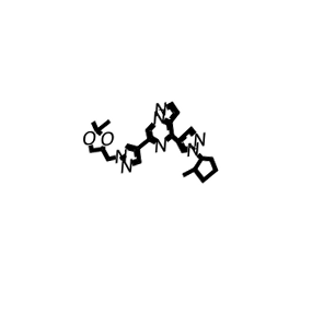 CC1CCCC1n1cc(-c2nc(-c3cnn(CC4COC(C)(C)O4)c3)cn3nccc23)cn1